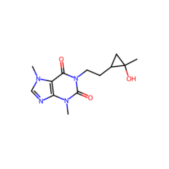 Cn1cnc2c1c(=O)n(CCC1CC1(C)O)c(=O)n2C